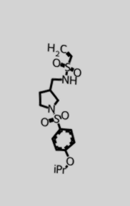 C=CS(=O)(=O)NCC1CCN(S(=O)(=O)c2ccc(OC(C)C)cc2)C1